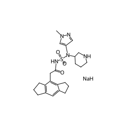 Cn1cc(N(C2CCCNC2)S(=O)(=O)NC(=O)Cc2c3c(cc4c2CCC4)CCC3)cn1.[NaH]